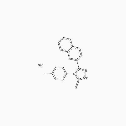 Cc1ccc(-n2c(-c3ccc4ccccc4n3)n[n-]c2=S)cc1.[Na+]